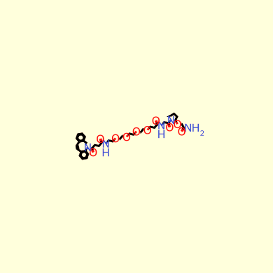 NC(=O)COC1CCCN1C(=O)CNC(=O)CCOCCOCCOCCOCCNC(=O)CCC(=O)N1Cc2ccccc2C#Cc2ccccc21